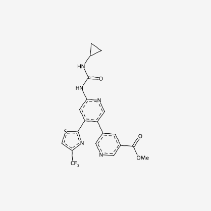 COC(=O)c1cncc(-c2cnc(NC(=O)NC3CC3)cc2-c2nc(C(F)(F)F)cs2)c1